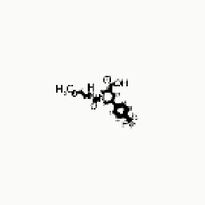 COCCNC(=O)N1CC(C(=O)O)CC(c2ccc(C(F)(F)F)cc2)C1